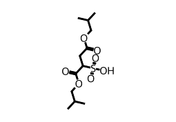 CC(C)COC(=O)CC(C(=O)OCC(C)C)S(=O)(=O)O